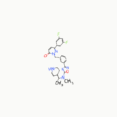 CC(C1CCNCC1)N(C)c1nc(-c2cccc(Cn3nc(-c4cc(F)cc(F)c4)ccc3=O)c2)no1